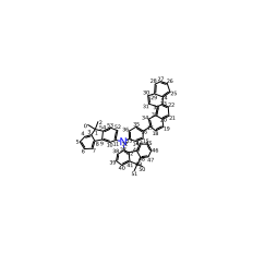 CC1(C)c2ccccc2-c2cc(N(c3ccc(-c4ccc5ccc6c7ccccc7ccc6c5c4)cc3)c3cccc4c3-c3ccccc3C4(C)C)ccc21